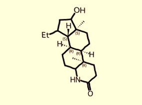 CCC1CC(O)[C@@]2(C)CC[C@@H]3[C@@H](CCC4NC(=O)CC[C@@]43C)[C@H]12